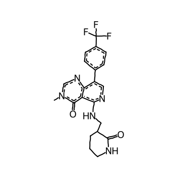 Cn1cnc2c(-c3ccc(C(F)(F)F)cc3)cnc(NCC3CCCNC3=O)c2c1=O